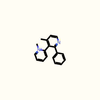 Cc1ccnc(-c2ccccc2)c1-c1cccc[n+]1C